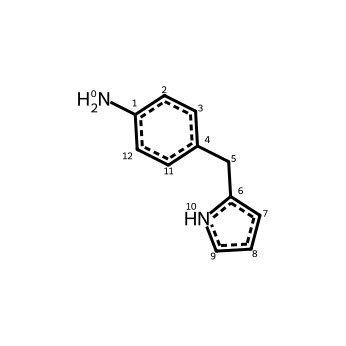 Nc1ccc(Cc2ccc[nH]2)cc1